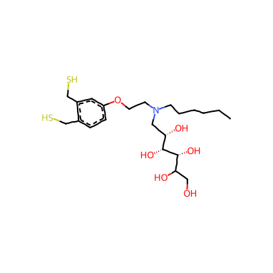 CCCCCCN(CCOc1ccc(CS)c(CS)c1)C[C@H](O)[C@@H](O)[C@H](O)C(O)CO